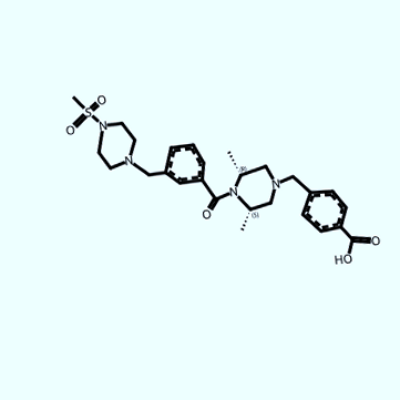 C[C@@H]1CN(Cc2ccc(C(=O)O)cc2)C[C@H](C)N1C(=O)c1cccc(CN2CCN(S(C)(=O)=O)CC2)c1